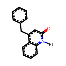 CCn1c(=O)cc(Cc2ccccc2)c2ccccc21